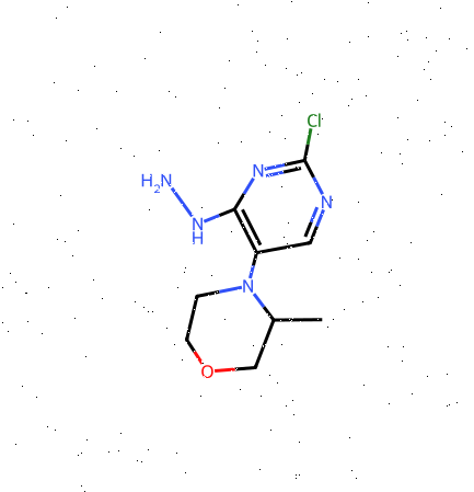 CC1COCCN1c1cnc(Cl)nc1NN